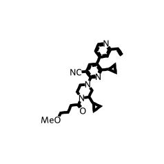 C=Cc1cc(-c2cc(C#N)c(N3CCN(C(=O)CCCOC)C(C4CC4)C3)nc2C2CC2)ccn1